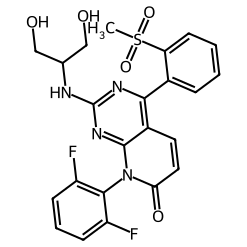 CS(=O)(=O)c1ccccc1-c1nc(NC(CO)CO)nc2c1ccc(=O)n2-c1c(F)cccc1F